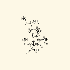 NC(CS)C(=O)O.NC(CS)C(=O)O.O=[N+]([O-])c1ncc[nH]1